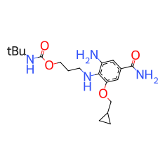 CC(C)(C)NC(=O)OCCCNc1c(N)cc(C(N)=O)cc1OCC1CC1